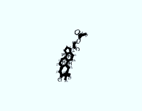 CC(=O)OCC(=O)[C@H]1CC[C@H]2[C@@H]3CCC4=CC(=O)C(C)(C)C[C@@H]4[C@H]3CC[C@]12C